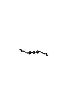 C=CC(=O)OCCCCCc1ccc(-c2ccc(-c3ccc(CCCCCOC(=O)C=C)cc3)cc2)cc1